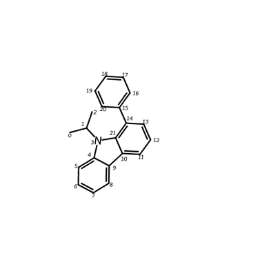 CC(C)n1c2ccccc2c2cccc(-c3ccccc3)c21